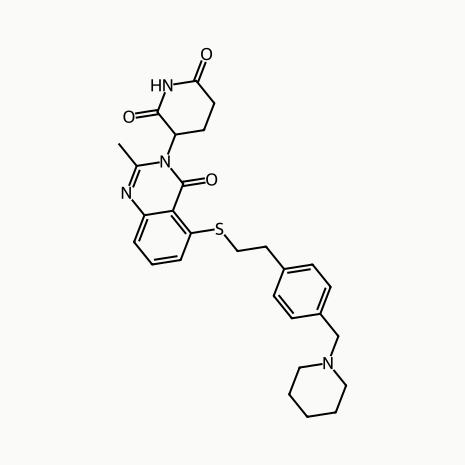 Cc1nc2cccc(SCCc3ccc(CN4CCCCC4)cc3)c2c(=O)n1C1CCC(=O)NC1=O